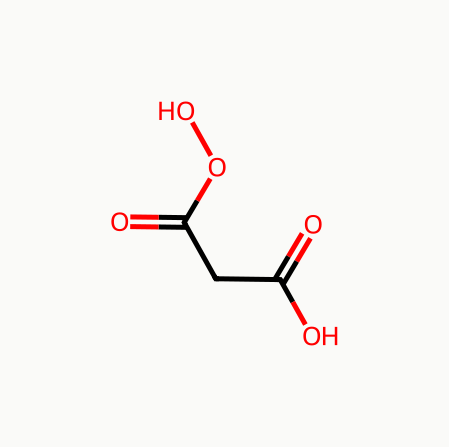 O=C(O)CC(=O)OO